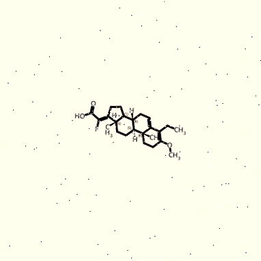 CCC1=C(OC)CC[C@@]2(C)C1=CC[C@@H]1[C@@H]2CC[C@]2(C)C(=C(F)C(=O)O)CC[C@@H]12